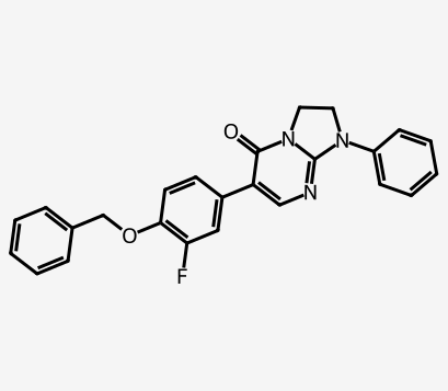 O=c1c(-c2ccc(OCc3ccccc3)c(F)c2)cnc2n1CCN2c1ccccc1